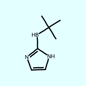 CC(C)(C)Bc1ncc[nH]1